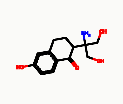 NC(CO)(CO)C1CCc2cc(O)ccc2C1=O